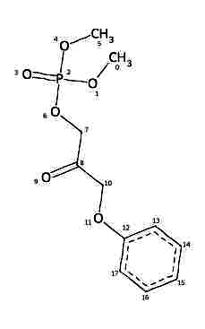 COP(=O)(OC)OCC(=O)COc1ccccc1